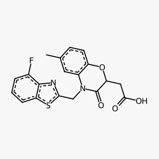 Cc1ccc2c(c1)N(Cc1nc3c(F)cccc3s1)C(=O)C(CC(=O)O)O2